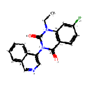 N#CCn1c(=O)n(-c2cncc3ccccc23)c(=O)c2ccc(Br)cc21